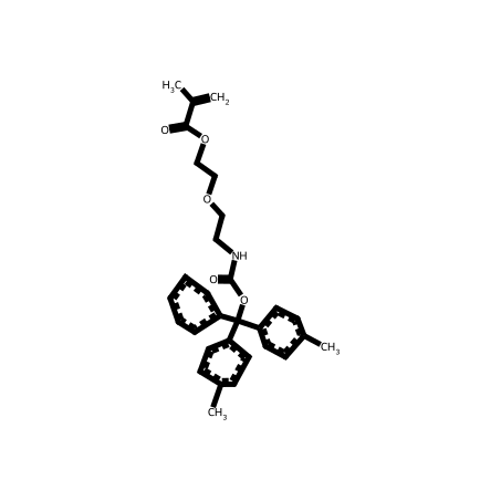 C=C(C)C(=O)OCCOCCNC(=O)OC(c1ccccc1)(c1ccc(C)cc1)c1ccc(C)cc1